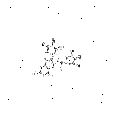 Cc1cc(O)cc2c1C[C@@H](OC(=O)c1cc(O)c(O)c(O)c1)[C@@H](c1cc(O)c(O)c(O)c1)O2